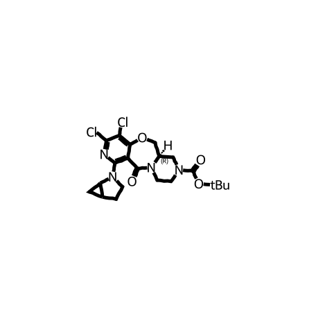 CC(C)(C)OC(=O)N1CCN2C(=O)c3c(N4CCC5CC54)nc(Cl)c(Cl)c3OC[C@H]2C1